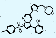 Cc1ccc(S(=O)(=O)n2cc(-c3ccccc3O)c3cc(-c4ccc(CN5CCOCC5)s4)cnc32)cc1